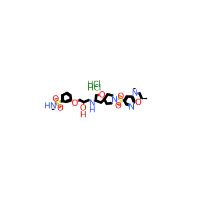 CNS(=O)(=O)c1cccc(OC[C@@H](O)CN[C@H]2COC3(CCN(S(=O)(=O)c4cnc5c(c4)N(C)C[C@@H](C)O5)CC3)C2)c1.Cl.Cl